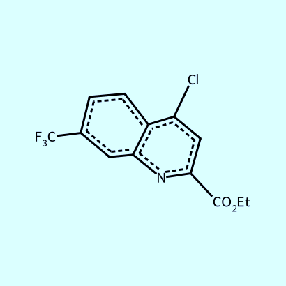 CCOC(=O)c1cc(Cl)c2ccc(C(F)(F)F)cc2n1